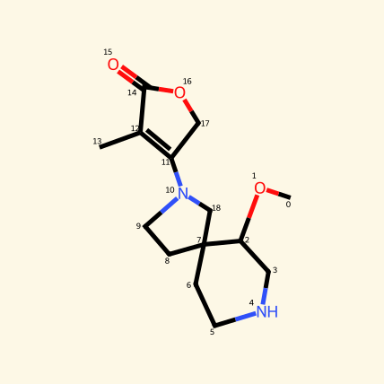 COC1CNCCC12CCN(C1=C(C)C(=O)OC1)C2